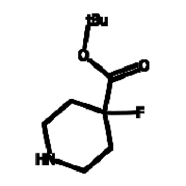 CC(C)(C)OC(=O)C1(F)CCNCC1